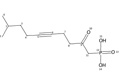 CC(C)CCC#CCCC(=O)CP(=O)(O)O